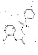 C=C1CN(S(=O)(=O)c2ccccc2F)c2cccc(Br)c2O1